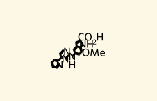 COc1cc(Nc2nccc(-c3ccccn3)n2)cc2cc(C(=O)O)[nH]c12